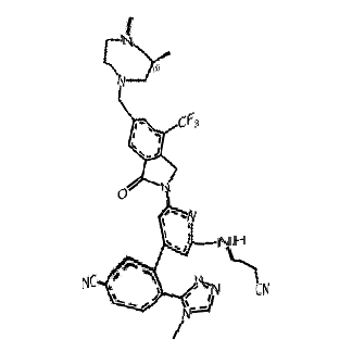 C[C@H]1CN(Cc2cc3c(c(C(F)(F)F)c2)CN(c2cc(-c4cc(C#N)ccc4-c4nncn4C)cc(NCCC#N)n2)C3=O)CCN1C